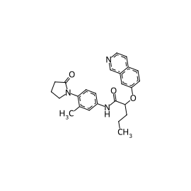 CCCC(Oc1ccc2ccncc2c1)C(=O)Nc1ccc(N2CCCC2=O)c(C)c1